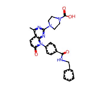 Cc1nc(N2CCN(C(=O)O)CC2)nc2c1ccc(=O)n2-c1ccc(C(=O)NCc2ccccc2)cc1